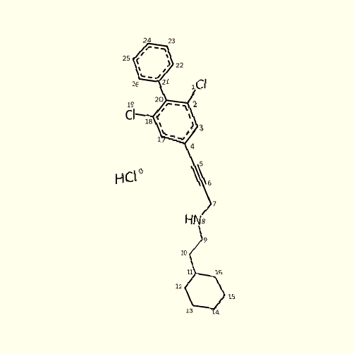 Cl.Clc1cc(C#CCNCCC2CCCCC2)cc(Cl)c1-c1ccccc1